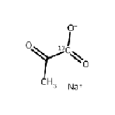 CC(=O)[13C](=O)[O-].[Na+]